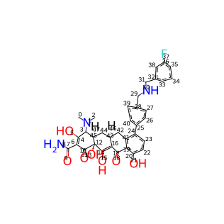 CN(C)C1C(O)=C(C(N)=O)C(=O)[C@@]2(O)C(O)=C3C(=O)c4c(O)ccc(-c5ccc(CNCc6cccc(F)c6)cc5)c4C[C@@H]3C[C@H]12